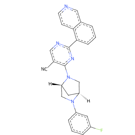 N#Cc1cnc(-c2cccc3cnccc23)nc1N1C[C@@H]2C[C@@H]1CN2c1cccc(F)c1